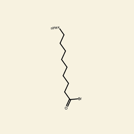 CCCCCCCCCCCCCCC(=O)Br